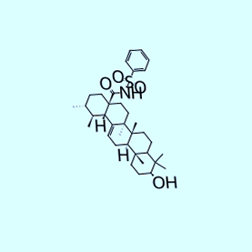 C[C@H]1[C@H](C)CC[C@]2(C(=O)NS(=O)(=O)c3ccccc3)CC[C@]3(C)C(=CC[C@@H]4[C@@]5(C)CC[C@H](O)C(C)(C)C5CC[C@]43C)[C@H]12